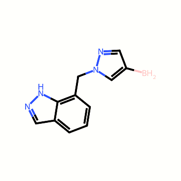 Bc1cnn(Cc2cccc3cn[nH]c23)c1